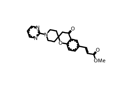 COC(=O)C=Cc1ccc2c(c1)C(=O)CC1(CCN(c3ncccn3)CC1)O2